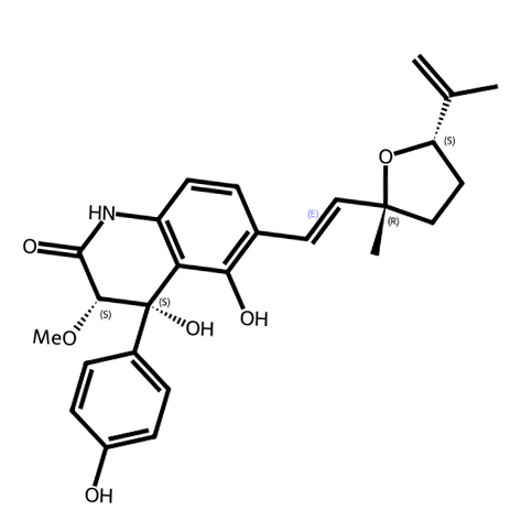 C=C(C)[C@@H]1CC[C@](C)(/C=C/c2ccc3c(c2O)[C@@](O)(c2ccc(O)cc2)[C@H](OC)C(=O)N3)O1